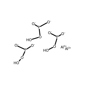 [Al+3].[Al+3].[O-]P([O-])OO.[O-]P([O-])OO.[O-]P([O-])OO